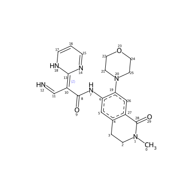 CN1CCc2cc(NC(=O)/C(C=N)=C3\N=CC=CN3)c(N3CCOCC3)cc2C1=O